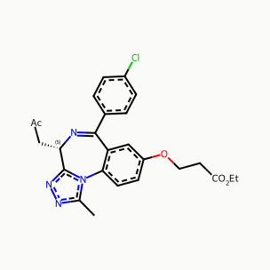 CCOC(=O)CCOc1ccc2c(c1)C(c1ccc(Cl)cc1)=N[C@@H](CC(C)=O)c1nnc(C)n1-2